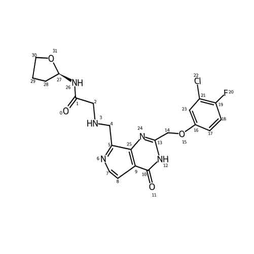 O=C(CNCc1nccc2c(=O)[nH]c(COc3ccc(F)c(Cl)c3)nc12)N[C@H]1CCCO1